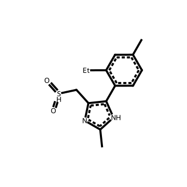 CCc1cc(C)ccc1-c1[nH]c(C)nc1C[SH](=O)=O